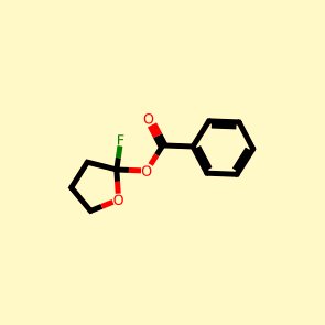 O=C(OC1(F)CCCO1)c1ccccc1